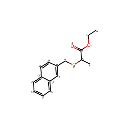 CCOC(=O)C(C)SCc1ccc2ccccc2c1